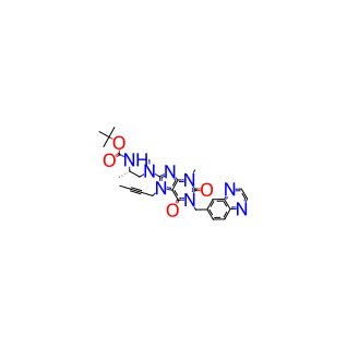 CC#CCn1c(N(C)C[C@H](C)NC(=O)OC(C)(C)C)nc2c1c(=O)n(Cc1ccc3nccnc3c1)c(=O)n2C